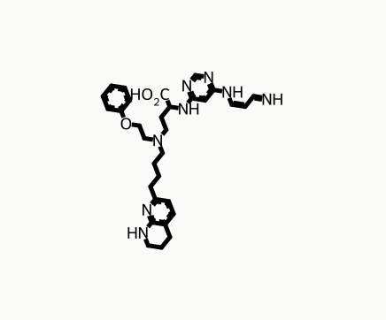 N=C/C=C\Nc1cc(NC(CCN(CCCCc2ccc3c(n2)NCCC3)CCOc2ccccc2)C(=O)O)ncn1